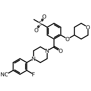 CS(=O)(=O)c1ccc(OC2CCOCC2)c(C(=O)N2CCN(c3ccc(C#N)cc3F)CC2)c1